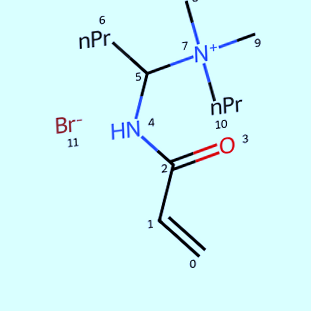 C=CC(=O)NC(CCC)[N+](C)(C)CCC.[Br-]